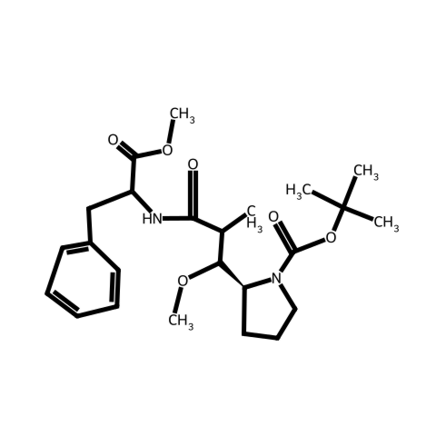 COC(=O)C(Cc1ccccc1)NC(=O)C(C)C(OC)[C@@H]1CCCN1C(=O)OC(C)(C)C